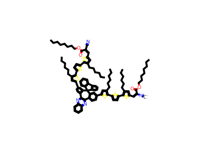 [C-]#[N+]/C(=C/c1cc(CCCCCC)c(-c2ccc(-c3sc(-c4ccc5c(c4)C4(c6ccccc6-c6ccccc64)c4cc(-c6cc(CCCCCC)c(-c7ccc(-c8sc(/C=C(/C#N)C(=O)OCCCCCCCC)cc8CCCCCC)s7)s6)ccc4-c4nc6ccccc6nc4-5)cc3CCCCCC)s2)s1)C(=O)OCCCCCCCC